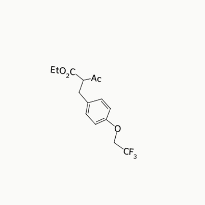 CCOC(=O)C(Cc1ccc(OCC(F)(F)F)cc1)C(C)=O